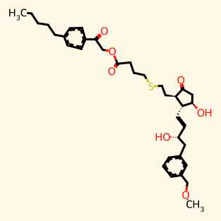 CCCCCc1ccc(C(=O)COC(=O)CCCSCC[C@H]2C(=O)C[C@@H](O)[C@@H]2/C=C/[C@@H](O)Cc2cccc(COC)c2)cc1